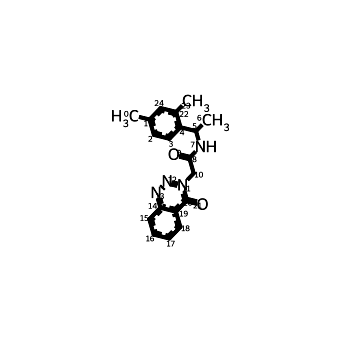 Cc1ccc(C(C)NC(=O)Cn2nnc3ccccc3c2=O)c(C)c1